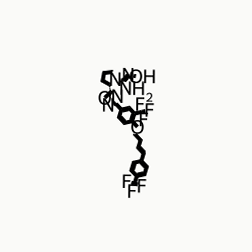 N/C(=N\O)N1CCC[C@H]1c1nc(-c2ccc(OCC/C=C/c3ccc(C(F)(F)F)cc3)c(C(F)(F)F)c2)no1